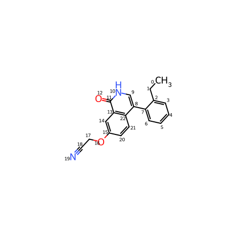 CCc1ccccc1-c1c[nH]c(=O)c2cc(OCC#N)ccc12